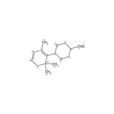 CC1=C(C2OCC(C=O)CO2)C(C)(C)CC=C1